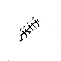 FCCC(F)(F)C(F)(F)C(F)(F)C(F)(F)C(F)(F)C(F)(F)F